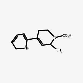 CC1C=C(C2=CC=CCN2)CCN1C(=O)O